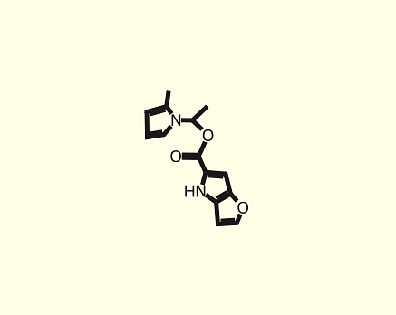 Cc1cccn1C(C)OC(=O)c1cc2occc2[nH]1